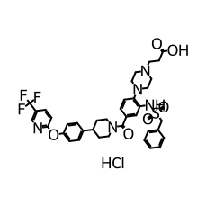 Cl.O=C(O)CCN1CCN(c2ccc(C(=O)N3CCC(c4ccc(Oc5ccc(C(F)(F)F)cn5)cc4)CC3)cc2NS(=O)(=O)Cc2ccccc2)CC1